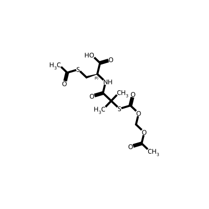 CC(=O)OCOC(=O)SC(C)(C)C(=O)N[C@@H](CSC(C)=O)C(=O)O